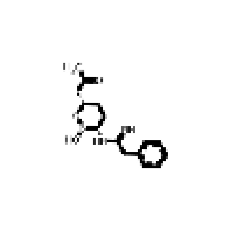 CC(=O)C[C@@H]1CC[C@H](NC(=N)Cc2ccccc2)B(O)O1